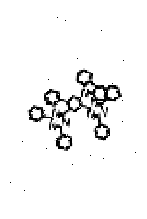 c1ccc(-c2nc(-c3ccccc3)nc(-c3cc(-c4nc(-c5ccccc5)nc(-c5ccccc5)n4)c(-n4c5ccccc5c5ccccc54)cc3-c3ccccc3)n2)cc1